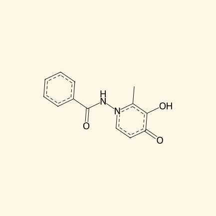 Cc1c(O)c(=O)ccn1NC(=O)c1ccccc1